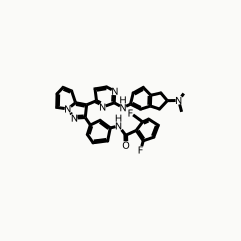 CN(C)C1Cc2ccc(Nc3nccc(-c4c(-c5cccc(NC(=O)c6c(F)cccc6F)c5)nn5ccccc45)n3)cc2C1